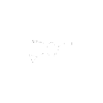 COc1cc(C(=O)O)ccc1C1CC1